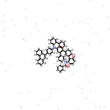 c1ccc(-c2nc3c(ccc4oc5ccc(-c6ccc(N(c7ccc(-c8cc9ccccc9c9ccccc89)cc7)c7ccccc7-c7ccccc7)cc6-c6ccccc6)cc5c43)o2)cc1